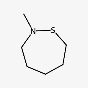 CN1CCCCCS1